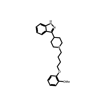 COc1ccc[c]c1OCCCCN1CCC(c2n[nH]c3ccccc23)CC1